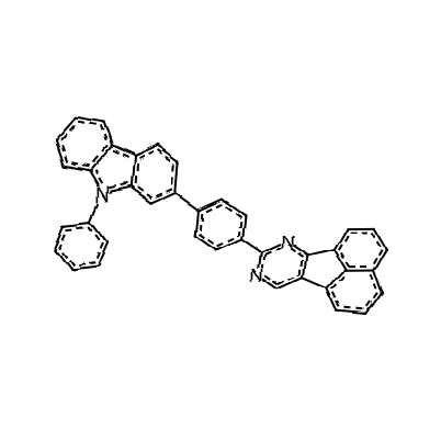 c1ccc(-n2c3ccccc3c3ccc(-c4ccc(-c5ncc6c(n5)-c5cccc7cccc-6c57)cc4)cc32)cc1